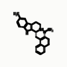 COc1ccc2ccccc2c1CC1NCCc2c1[nH]c1ccc(C)cc21